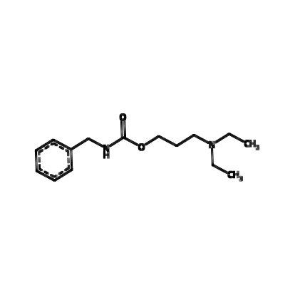 CCN(CC)CCCOC(=O)NCc1ccccc1